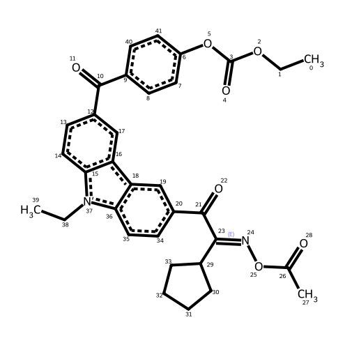 CCOC(=O)Oc1ccc(C(=O)c2ccc3c(c2)c2cc(C(=O)/C(=N/OC(C)=O)C4CCCC4)ccc2n3CC)cc1